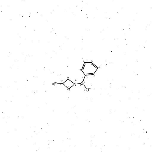 [O-][S+](c1ccccc1)N1CC(F)C1